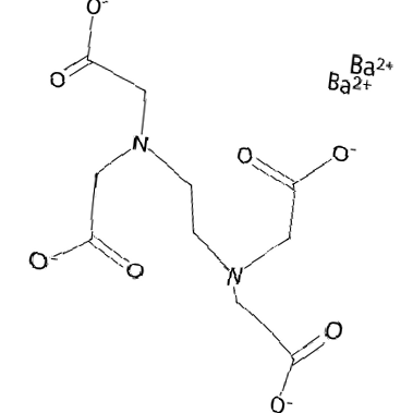 O=C([O-])CN(CCN(CC(=O)[O-])CC(=O)[O-])CC(=O)[O-].[Ba+2].[Ba+2]